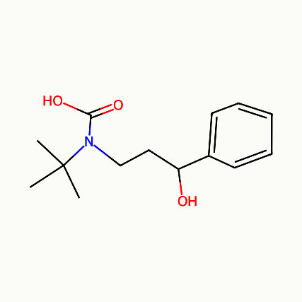 CC(C)(C)N(CCC(O)c1ccccc1)C(=O)O